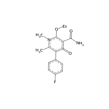 CCOc1c(C(N)=O)c(=O)c(-c2ccc(F)cc2)c(C)n1C